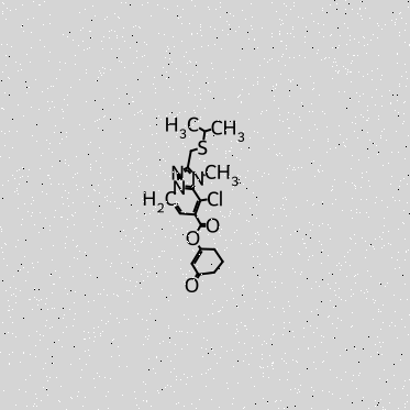 C=C/C(C(=O)OC1=CC(=O)CCC1)=C(/Cl)c1nnc(CSC(C)C)n1C